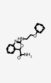 NC(=O)C1OC(NCCOc2ccccc2)=Nc2cc[c]cc21